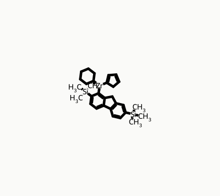 C[Si](C)(C)c1ccc2c(c1)Cc1c-2ccc([Si](C)(C)C)[c]1[Zr]([C]1=CC=CC1)=[C]1CCCCC1